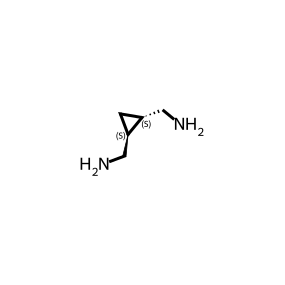 NC[C@H]1C[C@@H]1CN